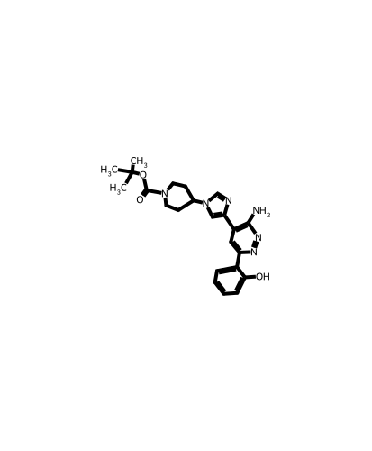 CC(C)(C)OC(=O)N1CCC(n2cnc(-c3cc(-c4ccccc4O)nnc3N)c2)CC1